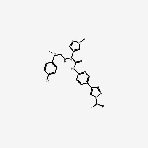 C[C@H](CN[C@H](C(=O)Nc1ccc(-c2cnn(C(F)F)c2)cn1)c1cnn(C)c1)c1ccc(C#N)cc1